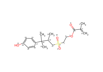 C=C(C)C(=O)OCCS(=O)(=O)CC(C)C(C)(C)c1ccc(O)cc1